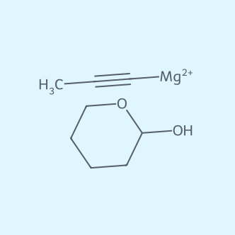 CC#[C][Mg+2].OC1CCCCO1